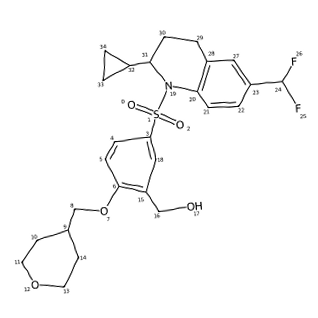 O=S(=O)(c1ccc(OCC2CCOCC2)c(CO)c1)N1c2ccc(C(F)F)cc2CCC1C1CC1